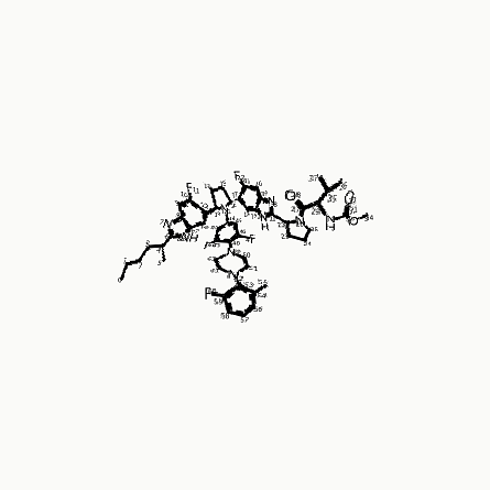 CCCC[C@H](C)c1nc2cc(F)c(C3CC[C@H](c4cc5[nH]c(C6CCCN6C(=O)C(NC(=O)OC)C(C)C)nc5cc4F)N3c3cc(F)c(N4CCN(c5c(C)cccc5F)CC4)c(F)c3)cc2[nH]1